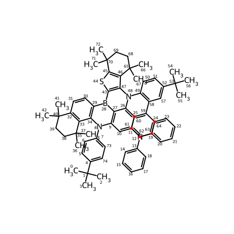 CC(C)(C)c1ccc(N2c3cc(N(c4ccccc4)c4ccccc4)cc4c3B(c3ccc5c(c32)C(C)(C)CCC5(C)C)c2sc3c(c2N4c2ccc(C(C)(C)C)cc2-c2ccccc2)C(C)(C)CCC3(C)C)cc1